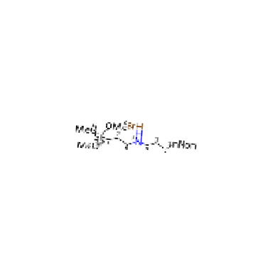 Br.CCCCCCCCCCCCNCCC[Si](OC)(OC)OC